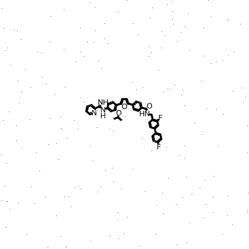 CC(C)Oc1cc(NC(=N)c2ccccn2)ccc1-c1ccc(-c2ccc(C(=O)NCc3ccc(-c4ccc(F)cc4)cc3F)cc2)o1